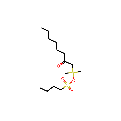 CCCCCCC(=O)CS(C)(C)OS(=O)(=O)CCCC